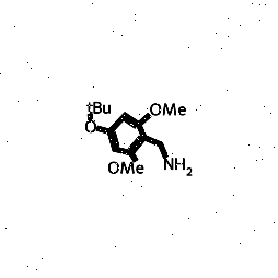 COc1cc(OC(C)(C)C)cc(OC)c1CN